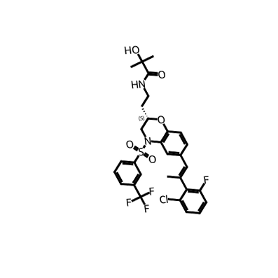 CC(=Cc1ccc2c(c1)N(S(=O)(=O)c1cccc(C(F)(F)F)c1)C[C@H](CCNC(=O)C(C)(C)O)O2)c1c(F)cccc1Cl